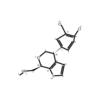 CNC[C@H]1OC[C@H](c2ccc(Cl)c(Cl)c2)c2ccsc21